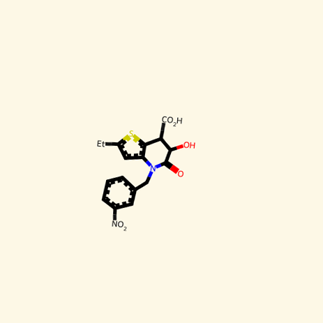 CCc1cc2c(s1)C(C(=O)O)C(O)C(=O)N2Cc1cccc([N+](=O)[O-])c1